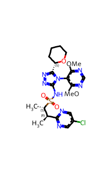 COc1ncnc(OC)c1-n1c(NS(=O)(=O)[C@@H](C)[C@H](C)c2ncc(Cl)cn2)nnc1[C@@H]1CCCCO1